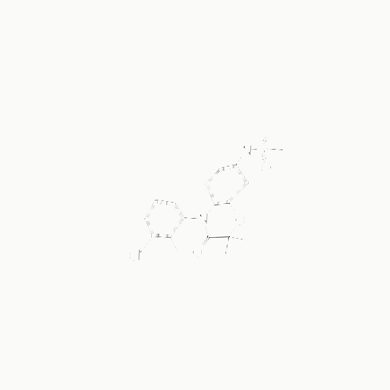 Cc1c(Cl)cccc1N1C(=O)C(C)(C)Oc2cc(NS(C)(=O)=O)ccc21